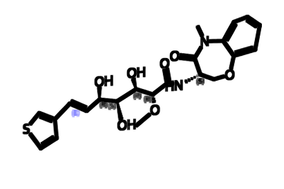 CO[C@@H](C(=O)N[C@H]1COc2ccccc2N(C)C1=O)[C@H](O)[C@@H](O)[C@H](O)/C=C/c1ccsc1